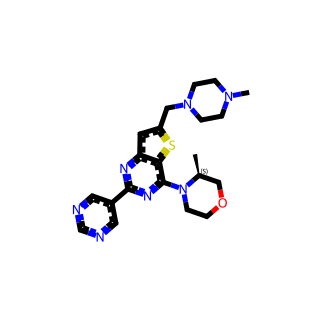 C[C@H]1COCCN1c1nc(-c2cncnc2)nc2cc(CN3CCN(C)CC3)sc12